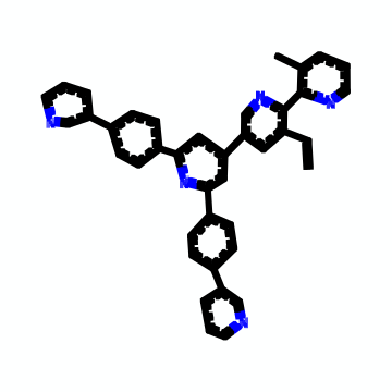 C=Cc1cc(-c2cc(-c3ccc(-c4cccnc4)cc3)nc(-c3ccc(-c4cccnc4)cc3)c2)cnc1-c1ncccc1C